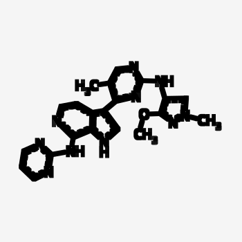 COc1nn(C)cc1Nc1ncc(C)c(-c2c[nH]c3c(Nc4ncccn4)nccc23)n1